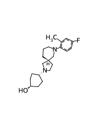 Cc1cc(F)ccc1N1CCC[C@]2(CCN([C@H]3CC[C@H](O)CC3)C2)C1